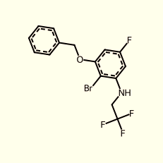 Fc1cc(NCC(F)(F)F)c(Br)c(OCc2ccccc2)c1